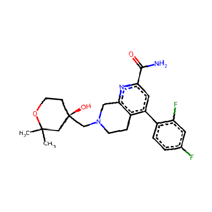 CC1(C)C[C@@](O)(CN2CCc3c(-c4ccc(F)cc4F)cc(C(N)=O)nc3C2)CCO1